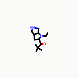 CCN1C(C(=O)C(C)(C)C)CC2CNCC21